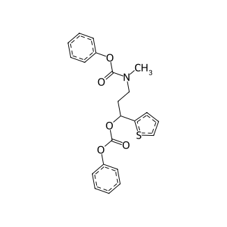 CN(CCC(OC(=O)Oc1ccccc1)c1cccs1)C(=O)Oc1ccccc1